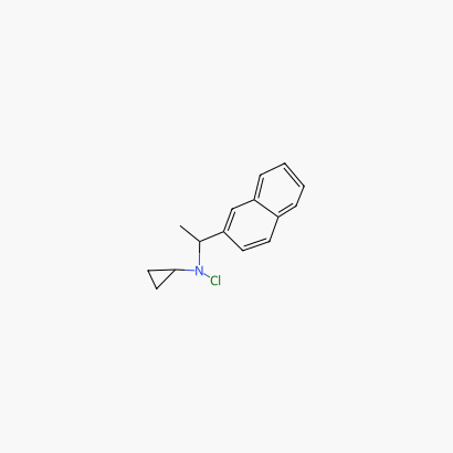 CC(c1ccc2ccccc2c1)N(Cl)C1CC1